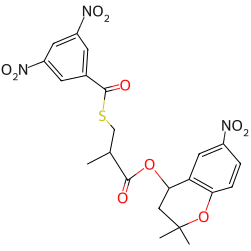 CC(CSC(=O)c1cc([N+](=O)[O-])cc([N+](=O)[O-])c1)C(=O)OC1CC(C)(C)Oc2ccc([N+](=O)[O-])cc21